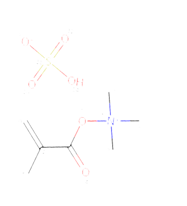 C=C(C)C(=O)O[N+](C)(C)C.O=S(=O)([O-])O